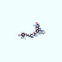 COc1c(NC(=O)CN2CCC(CCCOc3ccc(Br)c(C(F)(F)F)c3)CC2)ccc2c(C3CCC(=O)NC3=O)nn(C)c12